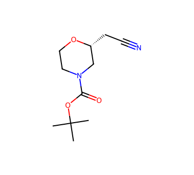 CC(C)(C)OC(=O)N1CCO[C@H](CC#N)C1